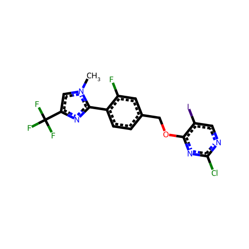 Cn1cc(C(F)(F)F)nc1-c1ccc(COc2nc(Cl)ncc2I)cc1F